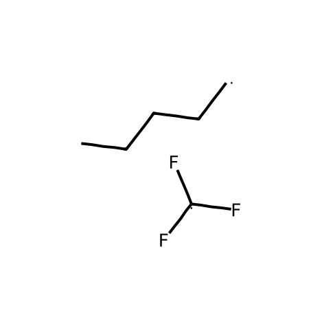 F[C](F)F.[CH2]CCCC